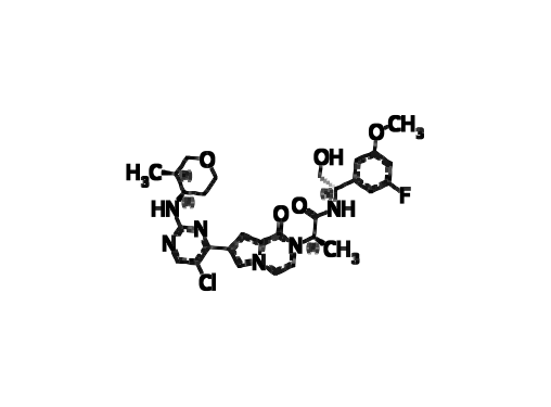 COc1cc(F)cc([C@@H](CO)NC(=O)[C@@H](C)n2ccn3cc(-c4nc(N[C@@H]5CCOC[C@@H]5C)ncc4Cl)cc3c2=O)c1